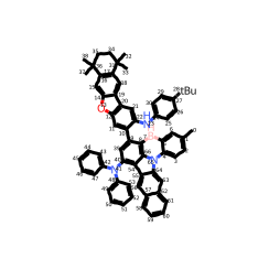 Cc1ccc2c(c1)Bc1c(-c3cc4oc5cc6c(cc5c4cc3Nc3ccc(C(C)(C)C)cc3)C(C)(C)CCC6(C)C)cc(N(c3ccccc3)c3ccccc3)c3c4cc5ccccc5cc4n-2c13